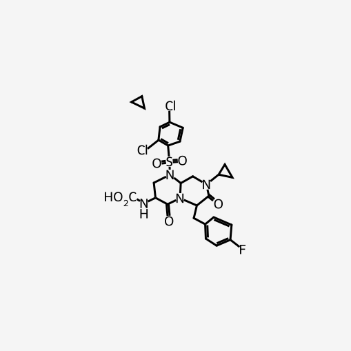 C1CC1.O=C(O)NC1CN(S(=O)(=O)c2ccc(Cl)cc2Cl)C2CN(C3CC3)C(=O)C(Cc3ccc(F)cc3)N2C1=O